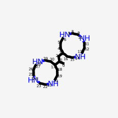 CC(CC1CCCNCCNCCCNCC1)C1CCCNCCNCCCNCC1